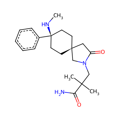 CN[C@]1(c2ccccc2)CC[C@@]2(CC1)CC(=O)N(CC(C)(C)C(N)=O)C2